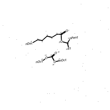 CCCCCCCCCCCCCCCC(=O)OC(CC)CCCCC.CCCCCCCCOC(=O)OCCCCCCCC